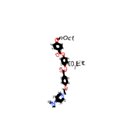 CCCCCCCCOc1ccc(C(=O)Oc2ccc(OC(=O)c3ccc(OCC[n+]4ccc(N(C)C)cc4)cc3)c(C(=O)OCC)c2)cc1